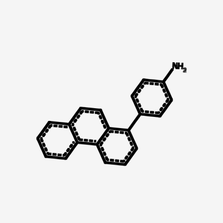 Nc1ccc(-c2cccc3c2ccc2ccccc23)cc1